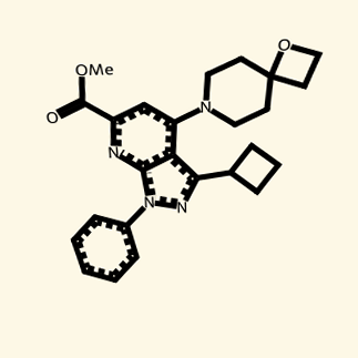 COC(=O)c1cc(N2CCC3(CCO3)CC2)c2c(C3CCC3)nn(-c3ccccc3)c2n1